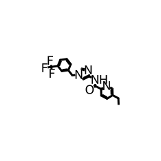 CCc1ccc(C(=O)Nc2cn(Cc3cccc(C(F)(F)F)c3)cn2)nc1